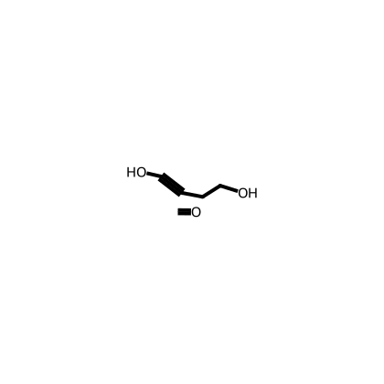 C=O.OC#CCCO